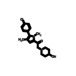 Cc1cc(C(=O)CN2CCC(O)CC2)n(C)c1-c1ccc(Cl)cc1